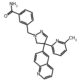 Cc1cccc(C2(c3ccc4ncccc4c3)C=NN(Cc3cccc(C(N)=O)c3)C2)n1